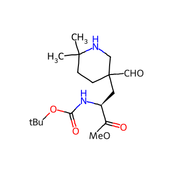 COC(=O)[C@H](CC1(C=O)CCC(C)(C)NC1)NC(=O)OC(C)(C)C